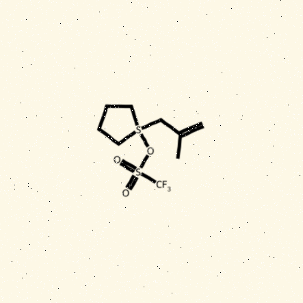 C=C(C)CS1(OS(=O)(=O)C(F)(F)F)CCCC1